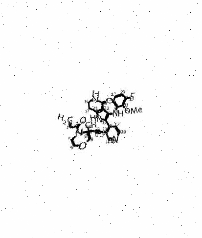 C=CC(=O)N1CCOC[C@@]1(C)C#Cc1cnccc1-c1[nH]c2c(c1Nc1cccc(F)c1OC)C(=O)NCC2